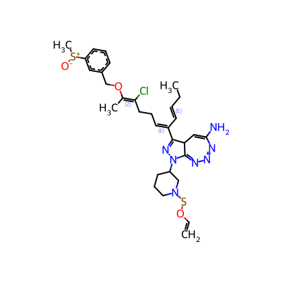 C=COSN1CCCC(N2N=C(C(/C=C/CC)=C/CC/C(Cl)=C(\C)OCc3cccc([S+](C)[O-])c3)C3C=C(N)N=NN=C32)C1